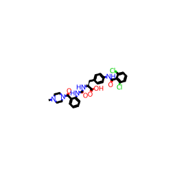 CN1CCN(C(=O)c2ccccc2NC(=O)N[C@@H](Cc2ccc(NC(=O)c3c(Cl)cccc3Cl)cc2)C(=O)O)CC1